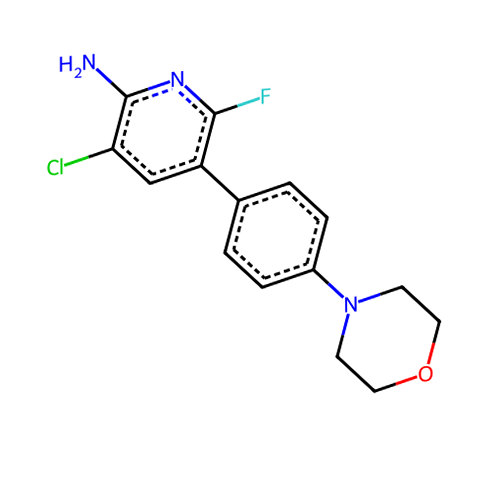 Nc1nc(F)c(-c2ccc(N3CCOCC3)cc2)cc1Cl